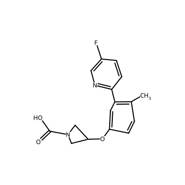 Cc1ccc(OC2CN(C(=O)O)C2)cc1-c1ccc(F)cn1